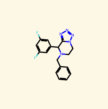 Fc1cc(F)cc(C2c3nnnn3CCN2Cc2ccccc2)c1